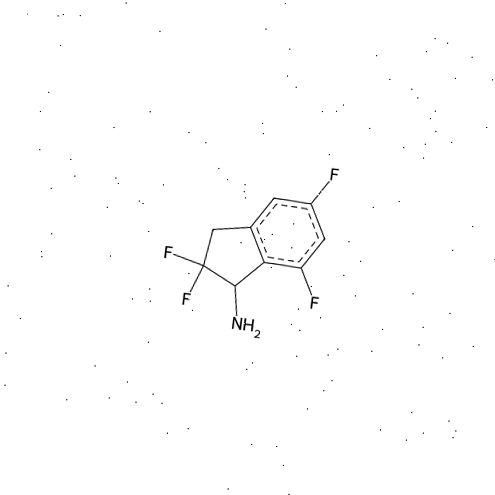 NC1c2c(F)cc(F)cc2CC1(F)F